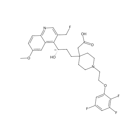 COc1ccc2ncc(CF)c([C@@H](O)CCC3(CC(=O)O)CCN(CCOc4cc(F)cc(F)c4F)CC3)c2c1